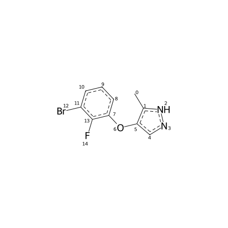 Cc1[nH]ncc1Oc1cccc(Br)c1F